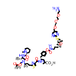 CCCC(=O)OCN(C(=O)[C@H](NC(=O)[C@@H]1CCCCN1C)C(C)CC)[C@@H](CCc1nc(C(=O)N[C@H](Cc2ccc(OC(=O)NCCC[Si](C)(C)O[Si](C)(C)CSc3ncc(COCCOCCOCCN)cn3)cc2)C[C@@H](C)C(=O)O)cs1)C(C)C